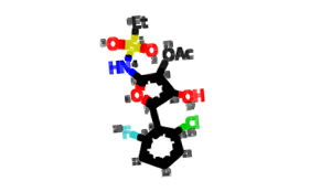 CCS(=O)(=O)Nc1oc(-c2c(F)cccc2Cl)c(O)c1OC(C)=O